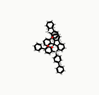 OC1(c2ccccc2-c2cccc3c2sc2ccccc23)c2ccccc2-c2cccc(N(c3ccc(-c4ccccc4)cc3)c3ccc(-c4ccccc4)cc3)c21